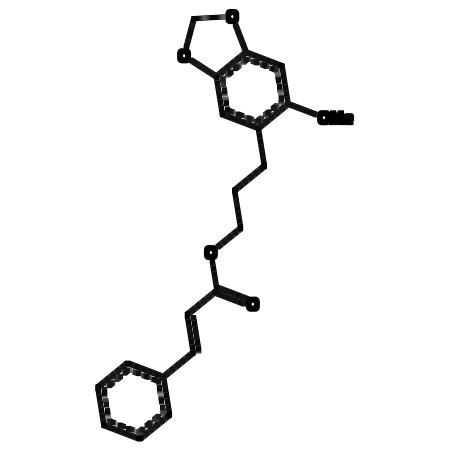 COc1cc2c(cc1CCCOC(=O)/C=C/c1ccccc1)OCO2